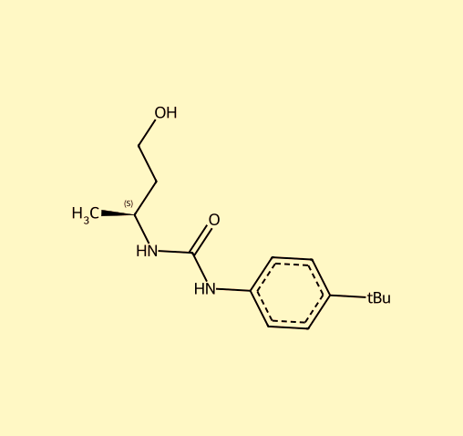 C[C@@H](CCO)NC(=O)Nc1ccc(C(C)(C)C)cc1